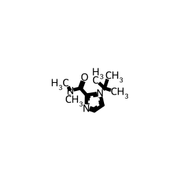 CN(C)C(=O)c1nccn1C(C)(C)C